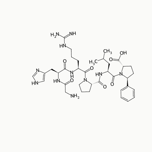 CC(C)C[C@H](NC(=O)[C@@H]1CCCN1C(=O)[C@H](CCCNC(=N)N)NC(=O)[C@H](Cc1c[nH]cn1)NC(=O)CN)C(=O)N1[C@H](C(=O)O)CC[C@H]1c1ccccc1